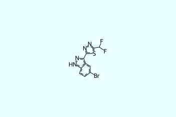 FC(F)c1nnc(-c2n[nH]c3ccc(Br)cc23)s1